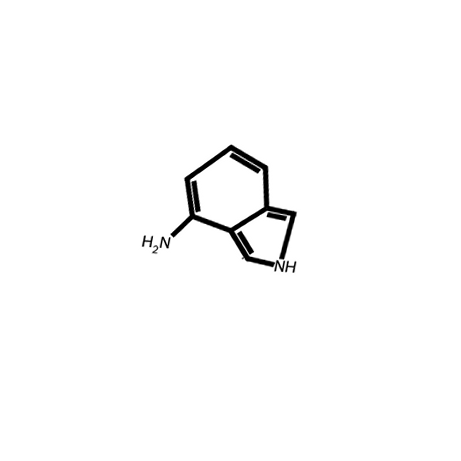 Nc1cccc2c[nH][c]c12